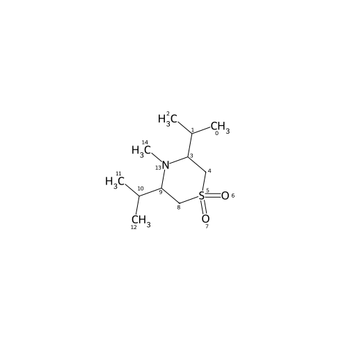 CC(C)C1CS(=O)(=O)CC(C(C)C)N1C